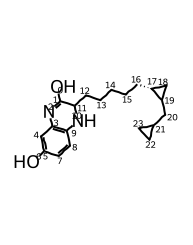 OC1=Nc2cc(O)ccc2NC1CCCCC[C@@H]1CC1CC1CC1